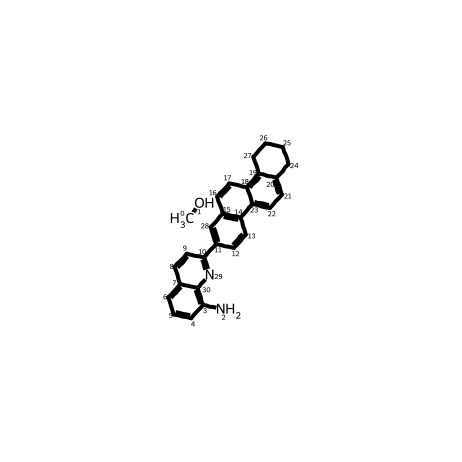 CO.Nc1cccc2ccc(-c3ccc4c(ccc5c6c(ccc54)CCCC6)c3)nc12